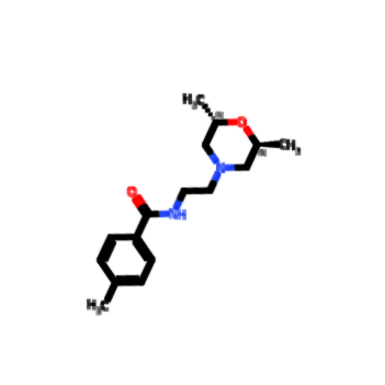 Cc1ccc(C(=O)NCCN2C[C@H](C)O[C@@H](C)C2)cc1